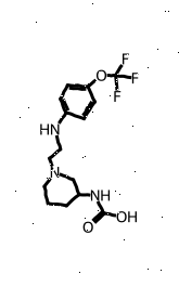 O=C(O)NC1CCCN(CCNc2ccc(OC(F)(F)F)cc2)C1